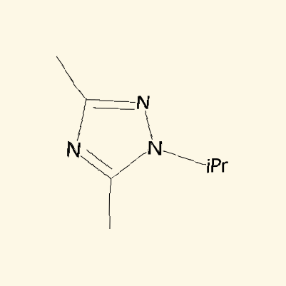 Cc1nc(C)n(C(C)C)n1